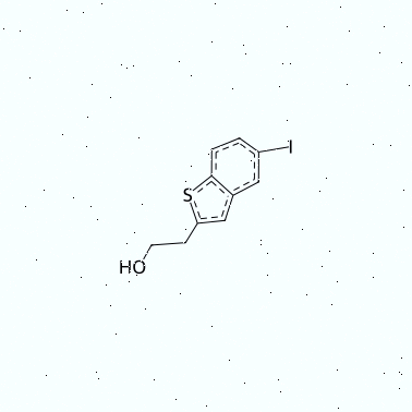 OCCc1cc2cc(I)ccc2s1